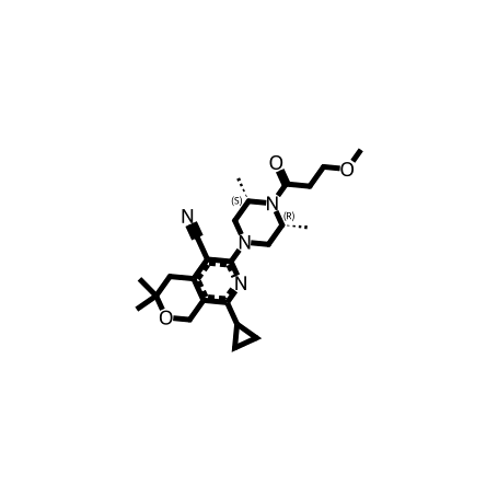 COCCC(=O)N1[C@H](C)CN(c2nc(C3CC3)c3c(c2C#N)CC(C)(C)OC3)C[C@@H]1C